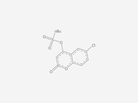 CCCCS(=O)(=O)Oc1cc(=O)oc2ccc(Cl)cc12